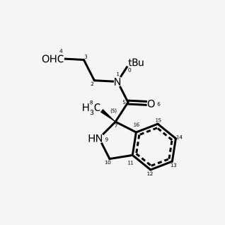 CC(C)(C)N(CCC=O)C(=O)[C@@]1(C)NCc2ccccc21